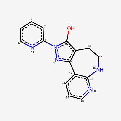 Oc1c2c(nn1-c1ccccn1)-c1cccnc1NCC2